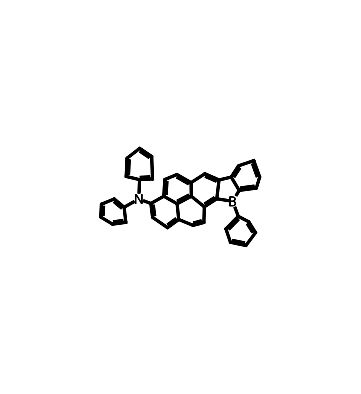 c1ccc(B2c3ccccc3-c3cc4ccc5c(N(c6ccccc6)c6ccccc6)ccc6ccc(c32)c4c65)cc1